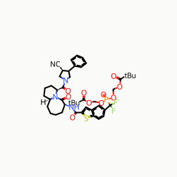 CC(C)(C)C(=O)OCOP(=O)(OCOC(=O)C(C)(C)C)C(F)(F)c1ccc2sc(C(=O)N[C@H]3CCCC[C@H]4CCC[C@@H](C(=O)N5CC(c6ccccc6)[C@H](C#N)C5)N4C3=O)cc2c1